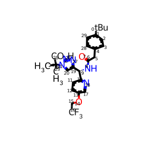 CC(C)(C)c1ccc(CC(=O)N[C@H](c2ccc(OCC(F)(F)F)cn2)c2cn(C(C)(C)C(=O)O)nn2)cc1